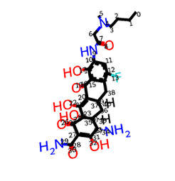 CCCCN(C)CC(=O)Nc1cc(F)c2c(c1O)C(=O)C1=C(O)[C@]3(O)C(=O)C(C(N)=O)=C(O)[C@@H](N)[C@@H]3C[C@@H]1C2